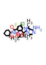 Cc1nc(C(C)(O)c2cc(Cl)c(F)c(C(=O)N[C@H]3CCCC[C@@H]3O)c2OC(C)C)n2ccnc(N)c12